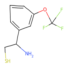 NC(CS)c1cccc(OC(F)(F)F)c1